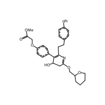 CCCc1ccc(CCC2=C(c3ccc(OCC(=O)OC)cc3)C(O)CC(OCC3CCCCO3)=N2)cc1